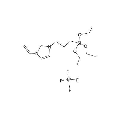 C=CN1C=CN(CCC[Si](OCC)(OCC)OCC)C1.F[B-](F)(F)F